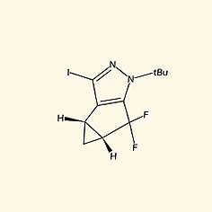 CC(C)(C)n1nc(I)c2c1C(F)(F)[C@@H]1C[C@H]21